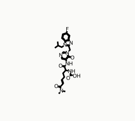 CC(C)Cn1c(Cn2cncc(NC(=O)C(CC/C=C/C(=O)N(C)C)NC(=O)O)c2=O)nc2cc(F)ccc21